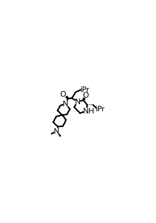 CC(C)CC(C(=O)N1CCC2(CCC(N(C)C)CC2)CC1)N1CCN[C@@H](CC(C)C)C1=O